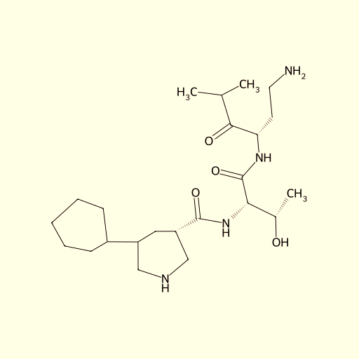 CC(C)C(=O)[C@H](CCN)NC(=O)[C@@H](NC(=O)[C@@H]1CNCC(C2CCCCC2)C1)[C@H](C)O